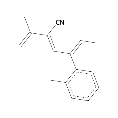 C=C(C)/C(C#N)=C/C(=C/C)c1ccccc1C